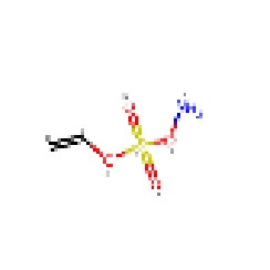 C=COS(=O)(=O)ON